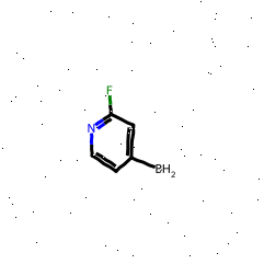 Bc1ccnc(F)c1